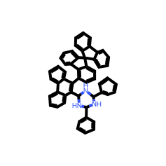 c1ccc(C2NC(c3ccccc3)NC(c3c(-c4cccc5c4-c4ccccc4C54c5ccccc5-c5ccccc54)c4ccccc4c4ccccc34)N2)cc1